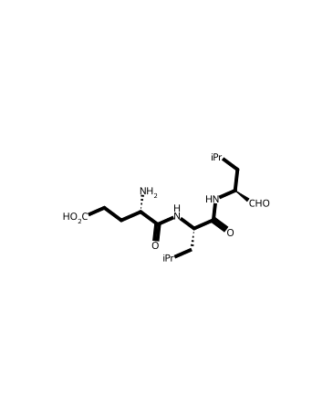 CC(C)C[C@@H](C=O)NC(=O)[C@H](CC(C)C)NC(=O)[C@@H](N)CCC(=O)O